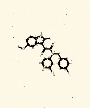 COc1ccc2[nH]c(C)c(C(=O)C(=O)N(Cc3ccc(F)cc3)c3ccnc(Cl)c3)c2c1